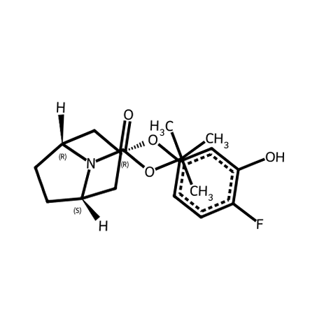 CC(C)(C)OC(=O)N1[C@@H]2CC[C@H]1C[C@@H](Oc1ccc(F)c(O)c1)C2